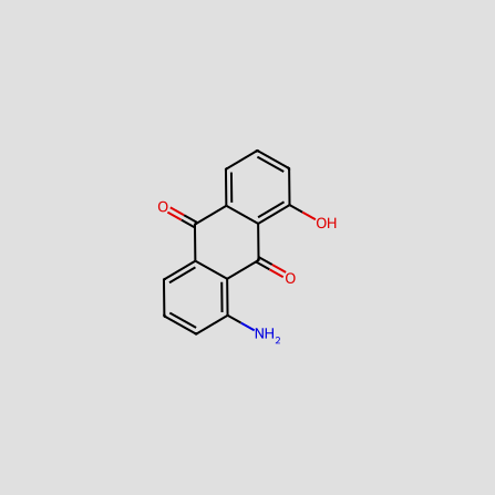 Nc1cccc2c1C(=O)c1c(O)cccc1C2=O